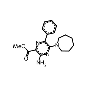 COC(=O)c1nc(-c2ccccc2)c(N2CCCCCC2)nc1N